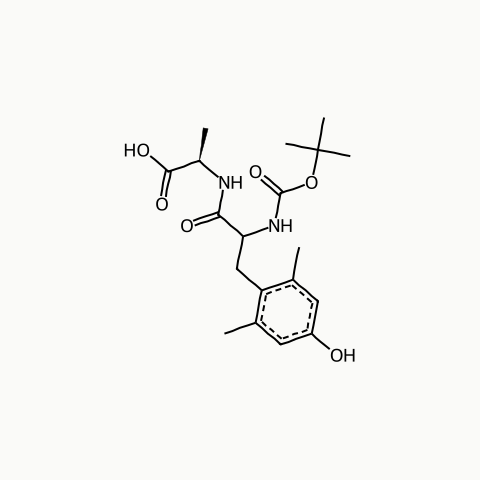 Cc1cc(O)cc(C)c1CC(NC(=O)OC(C)(C)C)C(=O)N[C@H](C)C(=O)O